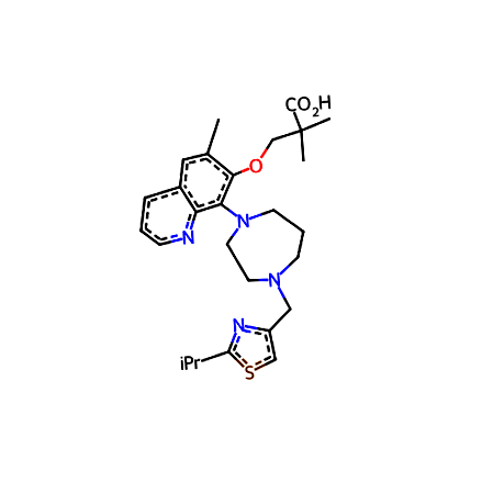 Cc1cc2cccnc2c(N2CCCN(Cc3csc(C(C)C)n3)CC2)c1OCC(C)(C)C(=O)O